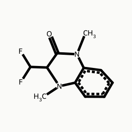 CN1C(=O)C(C(F)F)N(C)c2ccccc21